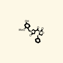 COc1cc(O)ccc1CN1CC(C(=O)N2C(=O)OC[C@@H]2Cc2ccccc2)CC1=O